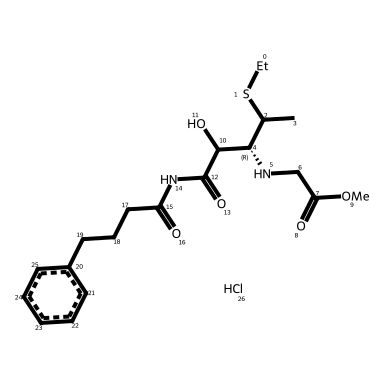 CCSC(C)[C@H](NCC(=O)OC)C(O)C(=O)NC(=O)CCCc1ccccc1.Cl